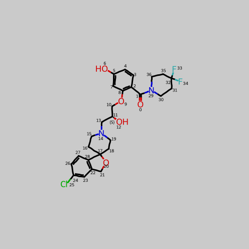 O=C(c1ccc(O)cc1OC[C@@H](O)CN1CCC2(CC1)OCc1cc(Cl)ccc12)N1CCC(F)(F)CC1